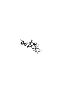 C[C@]12CCCCC1CC[C@@H]1C2CC[C@@]2(C)C1CCC[C@@H]2C(=O)CSc1cccs1